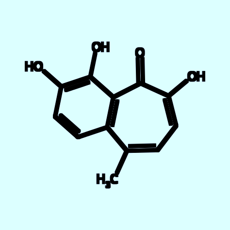 Cc1ccc(O)c(=O)c2c(O)c(O)ccc12